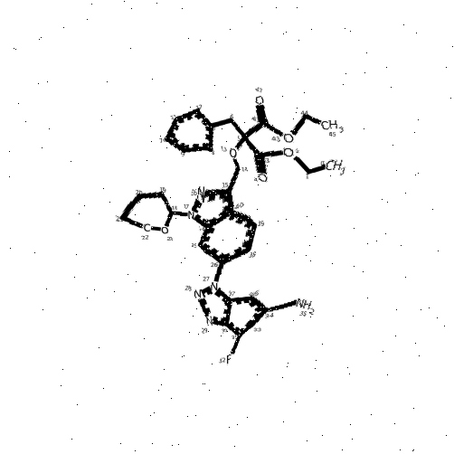 CCOC(=O)C(Cc1ccccc1)(OCc1nn(C2CCCCO2)c2cc(-n3nnc4c(F)cc(N)cc43)ccc12)C(=O)OCC